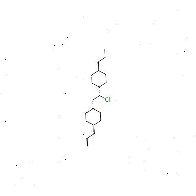 CCC[C@H]1CC[C@H](CC(Cl)[C@H]2CC[C@H](CCC)CC2)CC1